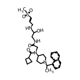 CC(c1cccc2ccccc12)N1CCC(N(CC(=O)NCC(O)NC/C=C/S(C)(=O)=O)C(=O)C2CCC2)CC1